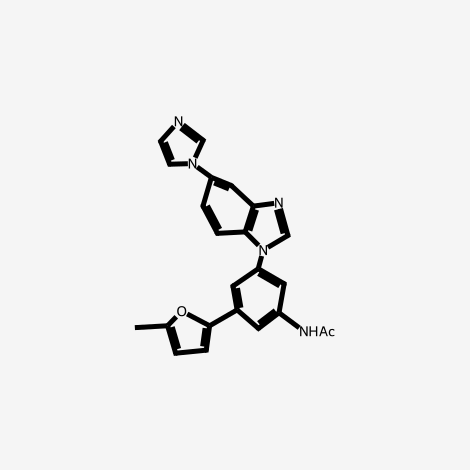 CC(=O)Nc1cc(-c2ccc(C)o2)cc(-n2cnc3cc(-n4ccnc4)ccc32)c1